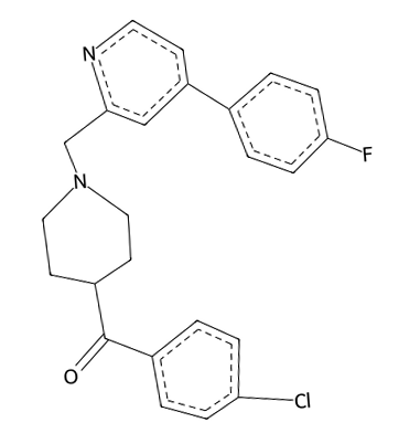 O=C(c1ccc(Cl)cc1)C1CCN(Cc2cc(-c3ccc(F)cc3)ccn2)CC1